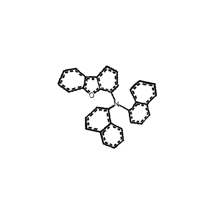 c1ccc2c(N(c3cccc4ccccc34)c3cccc4c3oc3ccccc34)cccc2c1